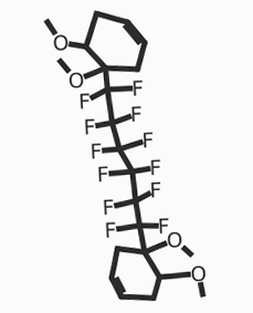 COC1CC=CCC1(OC)C(F)(F)C(F)(F)C(F)(F)C(F)(F)C(F)(F)C(F)(F)C1(OC)CC=CCC1OC